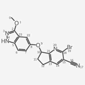 COc1n[nH]c2ccc(OC3CCc4cc(C#N)c(Br)nc43)cc12